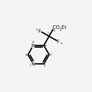 CCOC(=O)C(F)(F)c1ccncn1